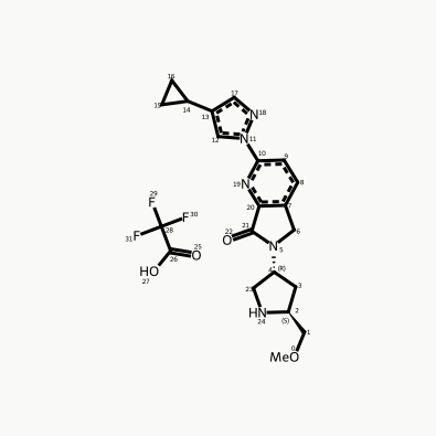 COC[C@@H]1C[C@@H](N2Cc3ccc(-n4cc(C5CC5)cn4)nc3C2=O)CN1.O=C(O)C(F)(F)F